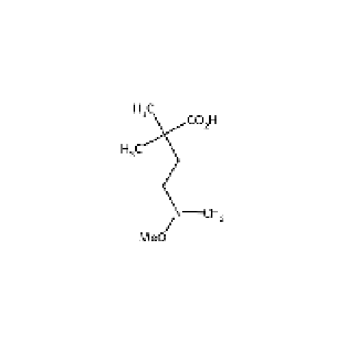 CON(C)CCC(C)(C)C(=O)O